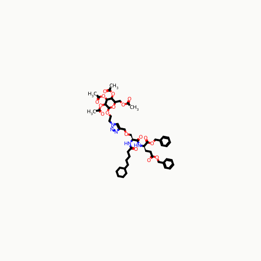 CC(=O)OCC1OC(OCCn2cc(COC[C@H](NC(=O)CCCCC3CCCCC3)C(=O)N[C@H](CCC(=O)OCc3ccccc3)C(=O)OCc3ccccc3)nn2)C(OC(C)=O)C(OC(C)=O)C1OC(C)=O